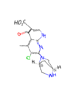 Cc1c(Cl)c(N2C[C@@H]3C[C@H]2CN3)nc2[nH]cc(C(=O)O)c(=O)c12